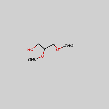 O=COCC(CO)OC=O